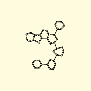 c1ccc(-c2cccc(-c3cccc(-c4nc(-c5ccccc5)c5ccc6c7ccccc7oc6c5n4)c3)c2)cc1